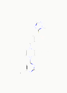 CCCc1cc(N2CCN(CCC[S+]([O-])c3ncn(C)n3)CC2)nc(C(C)(C)C)n1.Cl